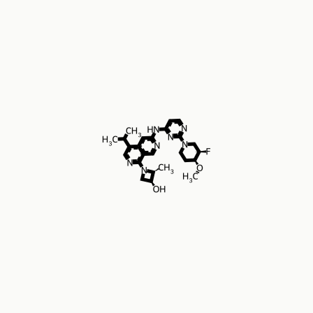 CO[C@H]1CCN(c2nccc(Nc3cc4c(C(C)C)cnc(N5C[C@H](O)[C@H]5C)c4cn3)n2)C[C@H]1F